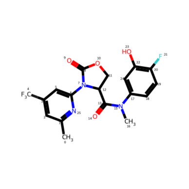 Cc1cc(C(F)(F)F)cc(N2C(=O)OCC2C(=O)N(C)c2ccc(F)c(O)c2)n1